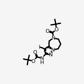 CC(C)(C)OC(=O)Nc1nn2c(c1I)CN(C(=O)OC(C)(C)C)CCC2